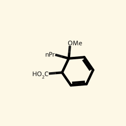 CCCC1(OC)C=CC=CC1C(=O)O